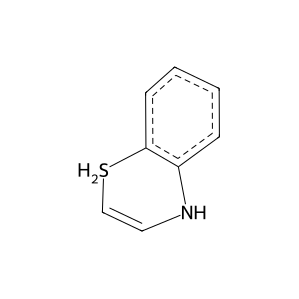 C1=C[SH2]c2ccccc2N1